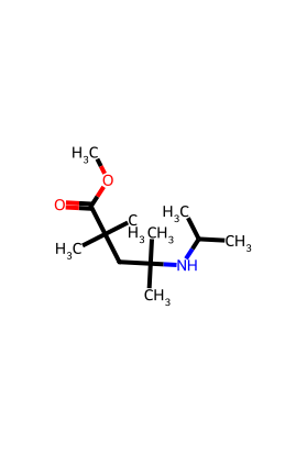 COC(=O)C(C)(C)CC(C)(C)NC(C)C